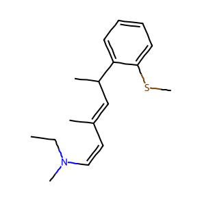 CCN(C)/C=C\C(C)=C\C(C)c1ccccc1SC